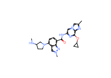 CNC1CCN(c2ccc(C(=O)Nc3cn4cc(C)nc4c(OC4CC4)n3)c3nn(C)cc23)C1